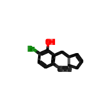 COc1ccc(Br)c(O)c1CC1C=CCC1